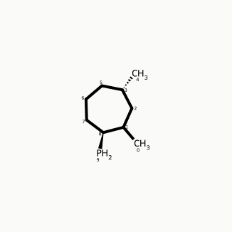 CC1C[C@@H](C)CCC[C@@H]1P